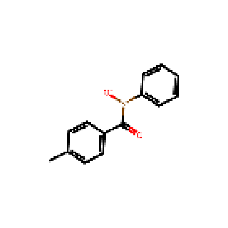 Cc1ccc(C(=O)[S+]([O-])c2ccccc2)cc1